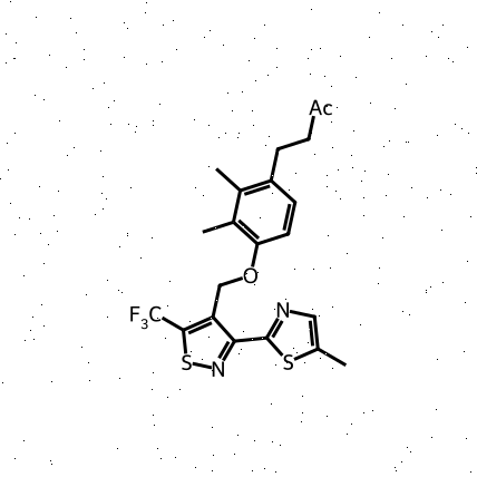 CC(=O)CCc1ccc(OCc2c(-c3ncc(C)s3)nsc2C(F)(F)F)c(C)c1C